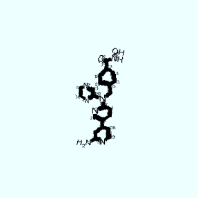 Nc1cc(-c2ccc(N(Cc3ccc(C(=O)NO)cc3)c3cnccn3)nc2)ccn1